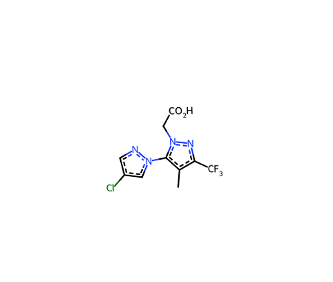 Cc1c(C(F)(F)F)nn(CC(=O)O)c1-n1cc(Cl)cn1